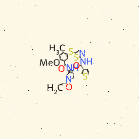 C=CC(=O)N1CC[C@@H](NC(=O)c2cc(Sc3cnc(NC(=O)c4ccsc4)s3)c(C)cc2OC)C1